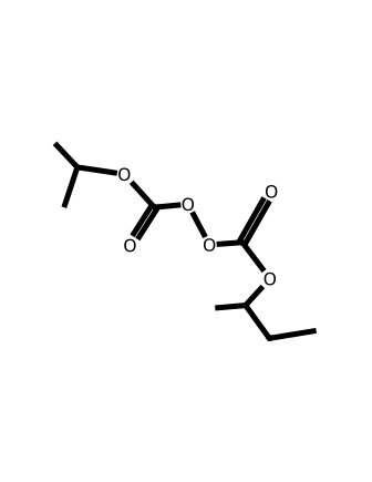 CCC(C)OC(=O)OOC(=O)OC(C)C